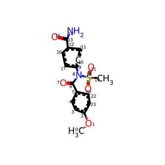 COc1ccc(C(=O)N(c2c[c]c(C(N)=O)cc2)S(C)(=O)=O)cc1